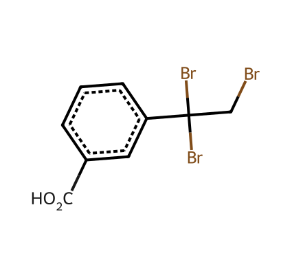 O=C(O)c1cccc(C(Br)(Br)CBr)c1